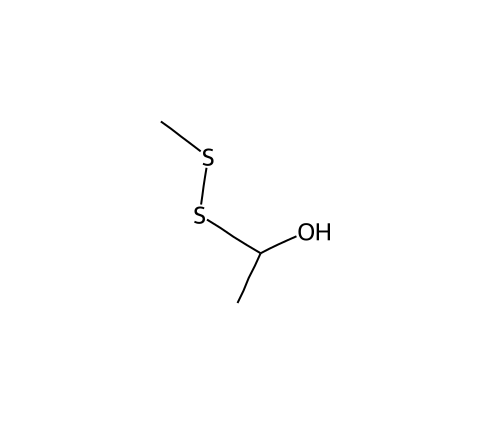 CSSC(C)O